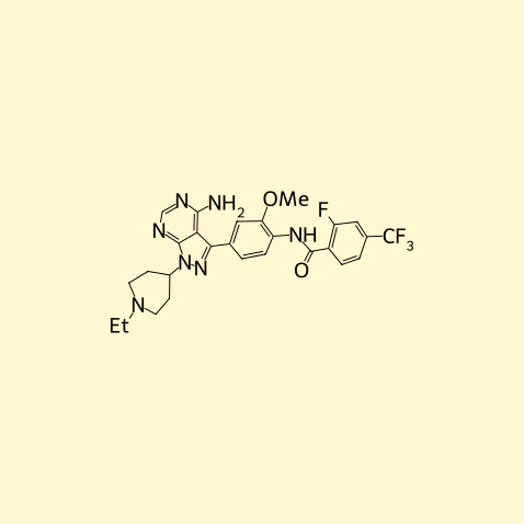 CCN1CCC(n2nc(-c3ccc(NC(=O)c4ccc(C(F)(F)F)cc4F)c(OC)c3)c3c(N)ncnc32)CC1